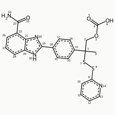 CC(COC(=O)O)(SSc1ccccn1)c1ccc(-c2nc3c(C(N)=O)cccc3[nH]2)cc1